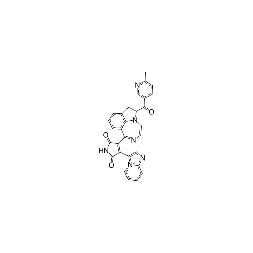 Cc1ccc(C(=O)C2Cc3cccc4c3N2C=CN=C4C2=C(c3cnc4ccccn34)C(=O)NC2=O)cn1